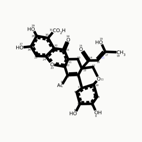 CC(=O)C1=C2c3cc(O)c(O)cc3OCC2(C(=O)/C=C(/C)O)Cc2c1oc1cc(O)c(O)c(C(=O)O)c1c2=O